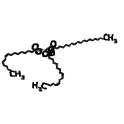 CCCC/C=C\C/C=C\CCCCCCCC(=O)OC[C@H](COC(=O)CCCCCCCCCCCCCCCCCC)OC(=O)CCCCCCC/C=C\C/C=C\CCCC